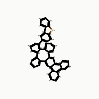 c1ccc2c(c1)-c1cc3c4ccccc4c4ccccc4c3cc1-c1ccccc1-c1c(-c3ccc4sc5ccccc5c4c3)cccc1-2